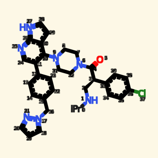 CC(C)NC[C@@H](C(=O)N1CCN(c2c(-c3ccc(Cn4cccn4)cc3)cnc3[nH]ccc23)CC1)c1ccc(Cl)cc1